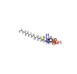 CCCCCCCCCCCCCCCC(=S)Cc1nc2cc(S(=O)(=O)O)ccc2[nH]1